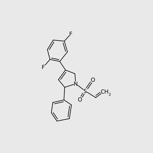 C=CS(=O)(=O)N1CC(c2cc(F)ccc2F)=CC1c1ccccc1